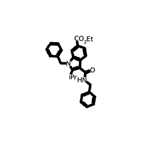 CCOC(=O)c1ccc2c(C(=O)NCc3ccccc3)c(C(C)C)n(Cc3ccccc3)c2c1